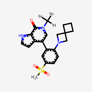 [2H]C([2H])([2H])n1cc(-c2cc(S(C)(=O)=O)ccc2N2CC3(CCC3)C2)c2cc[nH]c2c1=O